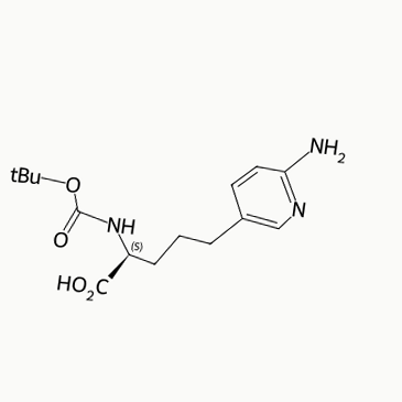 CC(C)(C)OC(=O)N[C@@H](CCCc1ccc(N)nc1)C(=O)O